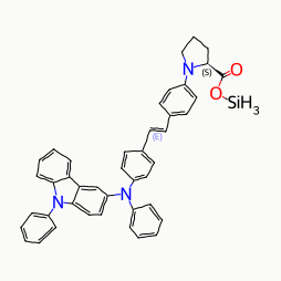 O=C(O[SiH3])[C@@H]1CCCN1c1ccc(/C=C/c2ccc(N(c3ccccc3)c3ccc4c(c3)c3ccccc3n4-c3ccccc3)cc2)cc1